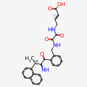 C[C@@H](C(=N)C(=O)c1ccccc1CNC(=O)C(=O)NC/C=C/C(=O)O)c1cccc2ccccc12